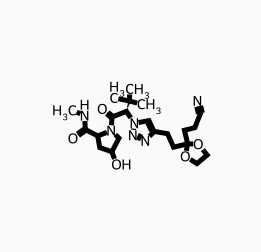 CNC(=O)C1CC(O)CN1C(=O)[C@@H](n1cc(CCC2(CCC#N)OCCO2)nn1)C(C)(C)C